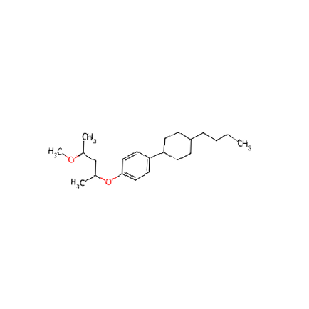 CCCCC1CCC(c2ccc(OC(C)CC(C)OC)cc2)CC1